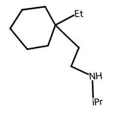 CCC1(CCNC(C)C)CCCCC1